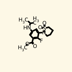 COC(=O)c1cc(NC(C)C)cc(N2CCCCS2(=O)=O)c1F